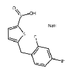 O=S(O)c1ccc(Cc2ccc(Br)cc2F)s1.[NaH]